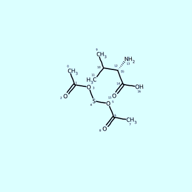 CC(=O)OSOC(C)=O.CC(C)[C@H](N)C(=O)O